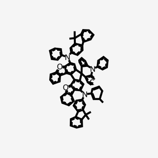 CC1C=C(N(c2ccc3c(c2)C(C)(C)c2ccccc2-3)c2cc3c(c4oc5ccccc5c24)-c2c(cc(N(c4ccccc4)c4ccc5c(c4)C(C)(C)c4ccccc4-5)c4oc5ccccc5c24)C32c3ccccc3N(c3ccccc3)c3ccccc32)C=CC1